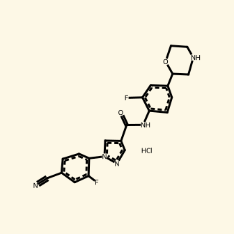 Cl.N#Cc1ccc(-n2cc(C(=O)Nc3ccc(C4CNCCO4)cc3F)cn2)c(F)c1